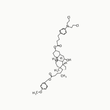 COc1ccc(COC(=O)CC[C@@H](C)[C@H]2CC[C@H]3[C@@H]4[C@H](O)CC5C[C@H](OC(=O)CCCc6ccc(N(CCCl)CCCl)cc6)CC[C@]5(C)[C@H]4CC[C@]23C)cc1